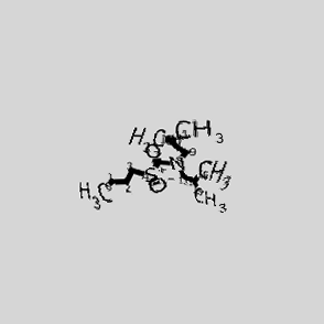 CCCC[S+]([O-])C(=O)N(CC(C)C)CC(C)C